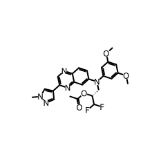 COc1cc(OC)cc(N(C[C@@H](OC(C)=O)C(F)F)c2ccc3ncc(-c4cnn(C)c4)nc3c2)c1